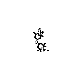 CON(C)C(C)(C)CC(CC(C)C)OC1CC(C)(C)N(O)C(C)(C)C1